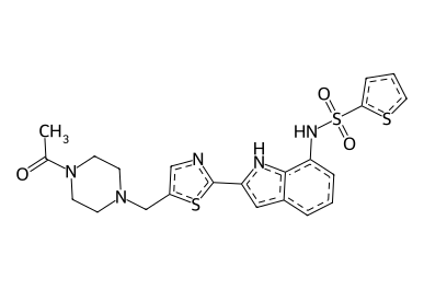 CC(=O)N1CCN(Cc2cnc(-c3cc4cccc(NS(=O)(=O)c5cccs5)c4[nH]3)s2)CC1